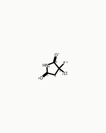 O=C1CC(F)(Cl)C(=O)N1